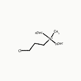 CCCCCCCCCC[N+](C)(CCCCl)CCCCCCCCCC